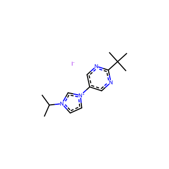 CC(C)n1cc[n+](-c2cnc(C(C)(C)C)nc2)c1.[I-]